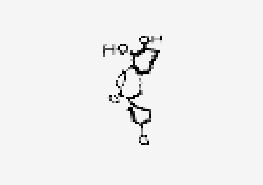 O=c1oc2c(O)c(O)ccc2cc1-c1ccc(Cl)cc1